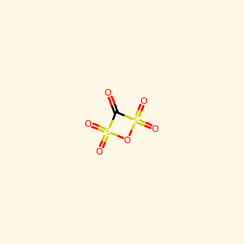 O=C1S(=O)(=O)OS1(=O)=O